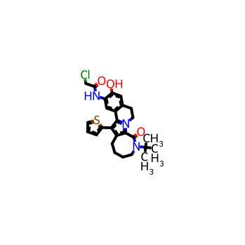 CC(C)(C)N1CCCCc2c(-c3cccs3)c3n(c2C1=O)CCc1cc(O)c(NC(=O)CCl)cc1-3